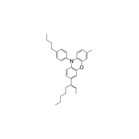 CC=C(CCCCC)c1ccc2c(c1)Oc1cc(C)ccc1N2c1ccc(CCCC)cc1